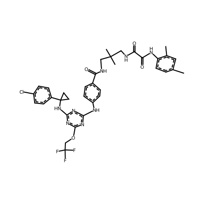 Cc1ccc(NC(=O)C(=O)NCC(C)(C)CNC(=O)c2ccc(Nc3nc(NC4(c5ccc(Cl)cc5)CC4)nc(OCC(F)(F)F)n3)cc2)c(C)c1